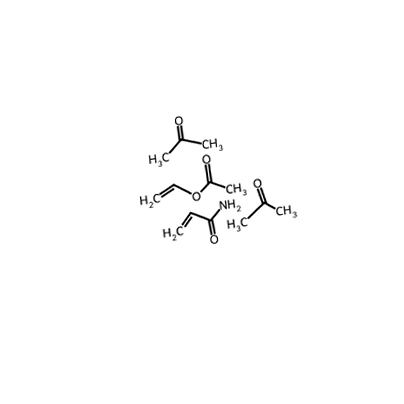 C=CC(N)=O.C=COC(C)=O.CC(C)=O.CC(C)=O